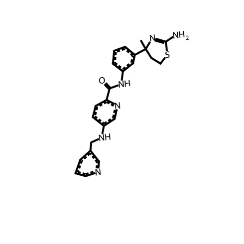 CC1(c2cccc(NC(=O)c3ccc(NCc4cccnc4)cn3)c2)CCSC(N)=N1